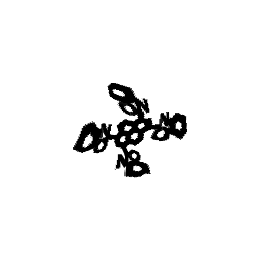 c1ccc2oc(-c3cc(-c4nc5ccccc5o4)c4ccc5c(-c6nc7ccccc7o6)cc(-c6nc7ccccc7o6)c6ccc3c4c65)nc2c1